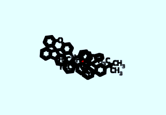 CC(C)(C)c1ccc2c(c1)C1(c3cc(C(C)(C)C)ccc3O2)c2ccccc2-c2ccc(N(c3ccc4c(c3)C3(c5ccccc5O4)c4ccccc4-c4ccccc43)c3ccccc3-n3c4ccccc4c4ccccc43)cc21